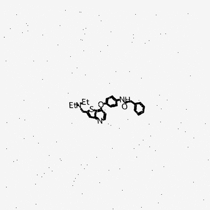 CCN(CC)Cc1cc2nccc(Oc3ccc(NC(=O)Cc4ccccc4)cc3)c2s1